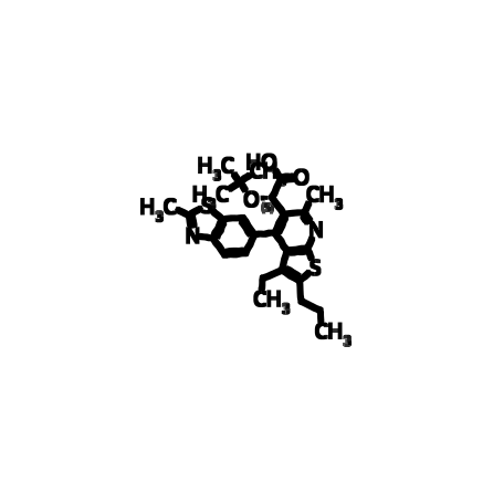 CCCc1sc2nc(C)c([C@H](OC(C)(C)C)C(=O)O)c(-c3ccc4nc(C)sc4c3)c2c1CC